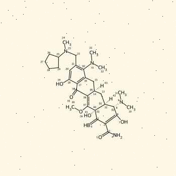 B=C1C(C(N)=O)=C(O)[C@@H](N(C)C)[C@@H]2C[C@@H]3Cc4c(c(O)cc(CN(C)C5CCCC5)c4N(C)C)C(=O)C3=C(OC)[C@]12O